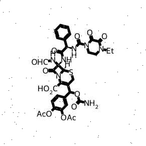 CCN1CCN(C(=O)N[C@@H](C(=O)N[C@]2(NC=O)C(=O)N3C(C(=O)O)=C(C(OC(N)=O)c4ccc(OC(C)=O)c(OC(C)=O)c4)CS[C@@H]32)c2ccccc2)C(=O)C1=O